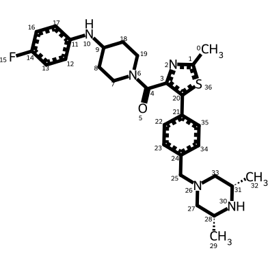 Cc1nc(C(=O)N2CCC(Nc3ccc(F)cc3)CC2)c(-c2ccc(CN3C[C@@H](C)N[C@@H](C)C3)cc2)s1